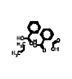 CCC.O=C(O)c1ccccc1.O=C(O)c1ccccc1.O=CO